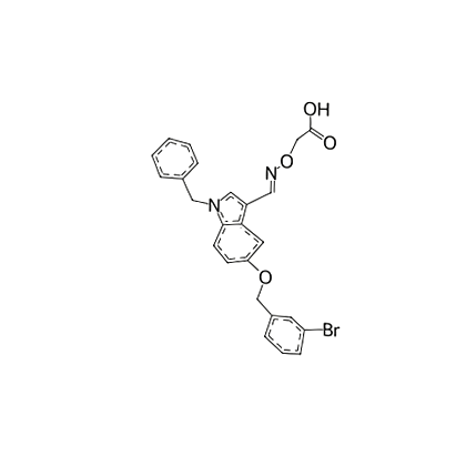 O=C(O)CO/N=C/c1cn(Cc2ccccc2)c2ccc(OCc3cccc(Br)c3)cc12